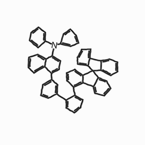 c1ccc(N(c2ccccc2)c2ccc(-c3cccc(-c4ccccc4-c4cccc5c4-c4ccccc4C54c5ccccc5-c5ccccc54)c3)c3ccccc23)cc1